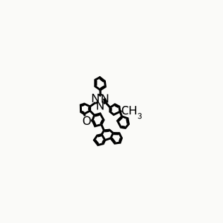 CC1(c2ccccc2)C=CC(c2nc(-c3ccccc3)nc(-c3cccc4oc5cc(-c6cc7ccccc7c7ccccc67)ccc5c34)n2)=CC1